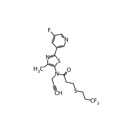 C#CCN(C(=O)CCSCCC(F)(F)F)c1sc(-c2cncc(F)c2)nc1C